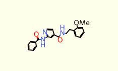 COc1ccccc1CCNC(=O)c1ccnc(NC(=O)c2ccccc2)c1